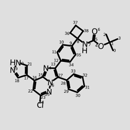 CC(C)(C)OC(=O)NC1(c2ccc(-c3nc4c(-c5cn[nH]c5)cc(Cl)nn4c3-c3ccccc3)cc2)CCC1